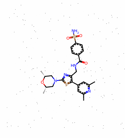 Cc1cc(-c2sc(N3C[C@@H](C)O[C@@H](C)C3)nc2CNC(=O)c2ccc(S(N)(=O)=O)cc2)cc(C)n1